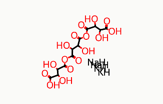 O=C(O)C(O)C(O)C(=O)OC(=O)C(O)C(O)C(=O)OC(=O)C(O)C(O)C(=O)O.[KH].[KH].[NaH].[NaH]